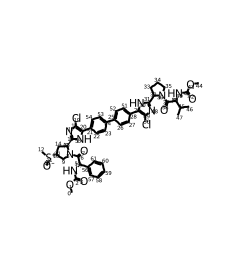 COC(=O)N[C@H](C(=O)N1C[C@@H]([S+](C)[O-])C[C@H]1c1nc(Cl)c(-c2ccc(-c3ccc(-c4[nH]c(C5CCCN5C(=O)[C@@H](NC(=O)OC)C(C)C)nc4Cl)cc3)cc2)[nH]1)c1ccccc1